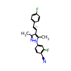 Cc1nn(-c2ccc(C#N)c(F)c2)c(C)c1/C=C/c1ccc(F)cc1